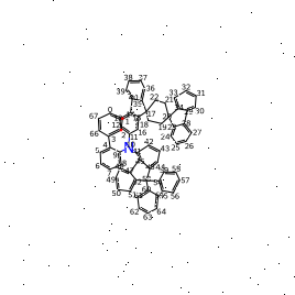 c1ccc(-c2ccccc2N(c2ccc3c(c2)C2(CCC4(CC2)c2ccccc2-c2ccccc24)c2ccccc2-3)c2cccc3c2-c2ccccc2C3(c2ccccc2)c2ccccc2)cc1